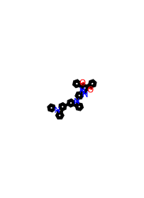 c1ccc(-n2c3ccccc3c3cc(-c4ccc5c(c4)c4ccccc4n5-c4ccc5c(c4)nc4c6oc7ccccc7c6c6oc7ccccc7c6n54)ccc32)cc1